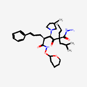 CCCC(CC(C)C)(C(=O)NN)C(=O)[C@@H]([C@H](C/C=C/c1ccccc1)C(=O)NOC1CCCCO1)N1CCC(C)C1